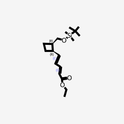 CCOC(=O)/C=C/C=C/[C@H]1CC[C@H]1CO[Si](C)(C)C(C)(C)C